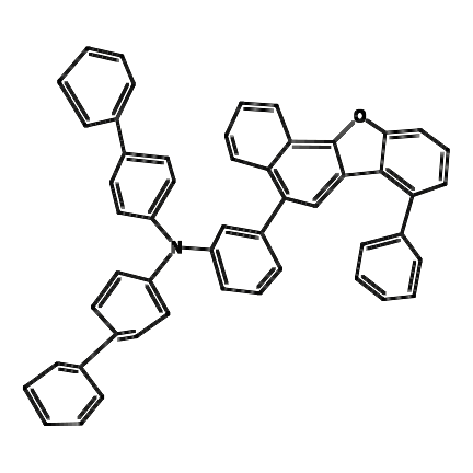 c1ccc(-c2ccc(N(c3ccc(-c4ccccc4)cc3)c3cccc(-c4cc5c(oc6cccc(-c7ccccc7)c65)c5ccccc45)c3)cc2)cc1